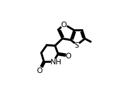 Cc1cc2occ(C3CCC(=O)NC3=O)c2s1